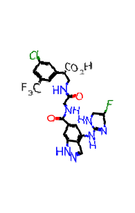 O=C(CNC(=O)c1cc(NC2=NCC(F)CN2)c2cn[nH]c2c1)NCC(C(=O)O)c1cc(Cl)cc(C(F)(F)F)c1